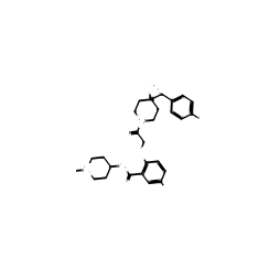 CN1CCC(NC(=O)c2cc(Cl)ccc2OCC(=O)N2CCC(C#N)(Cc3ccc(F)cc3)CC2)CC1